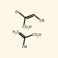 C=C(C#N)C(=O)O.CC/C(=C/C#N)C(=O)O